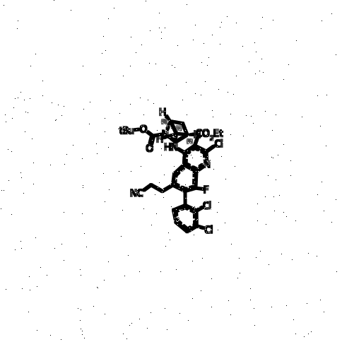 CCOC(=O)c1c(Cl)nc2c(F)c(-c3cccc(Cl)c3Cl)c(CCC#N)cc2c1N[C@H]1[C@@H]2C[C@H]1N(C(=O)OC(C)(C)C)C2